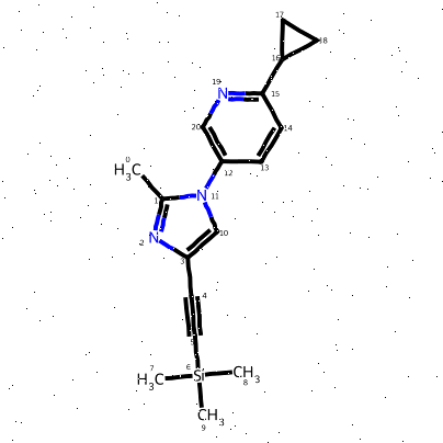 Cc1nc(C#C[Si](C)(C)C)cn1-c1ccc(C2CC2)nc1